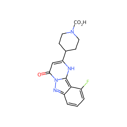 O=C(O)N1CCC(c2cc(=O)n3nc4cccc(F)c4c3[nH]2)CC1